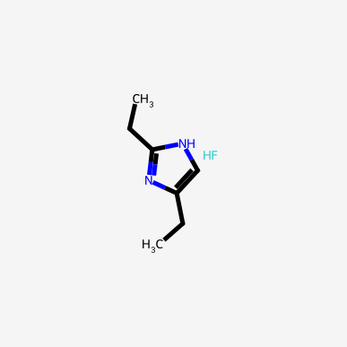 CCc1c[nH]c(CC)n1.F